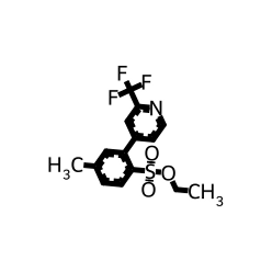 CCOS(=O)(=O)c1ccc(C)cc1-c1ccnc(C(F)(F)F)c1